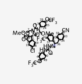 COC(=O)N(C(=O)N1CO[C@@]2(C(=O)OC)Cc3cc(Cl)ccc3C2=N1)c1ccc(OC(F)(F)F)cc1.N#Cc1ccc(C/C(=N/NC(=O)Nc2ccc(OC(F)(F)F)cc2)c2cccc(C(F)(F)F)c2)cc1